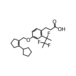 CC(F)(F)C(C)(F)c1cc(OCC2=C(C3CCCC3)CCC2)ccc1CCC(=O)O